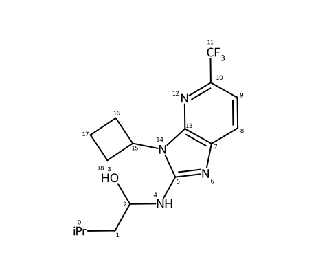 CC(C)CC(O)Nc1nc2ccc(C(F)(F)F)nc2n1C1CCC1